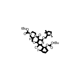 CN1CCC(C)(C)C1COc1nc(-c2c(F)cccc2OC(=O)OC(C)(C)C)c(Cl)c2c1C(=O)N1CCN(C(=O)OC(C)(C)C)C[C@@H]1CO2